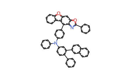 c1ccc(-c2nc3c(-c4ccc(N(c5ccccc5)c5ccc(-c6ccccc6)c(-c6ccc7ccccc7c6)c5)cc4)c4c(cc3o2)oc2ccccc24)cc1